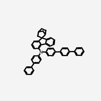 c1ccc(-c2ccc(-c3ccc(N(c4ccc(-c5ccccc5)cc4)c4cccc5c4-c4ccccc4C54CC5CCC4C5)cc3)cc2)cc1